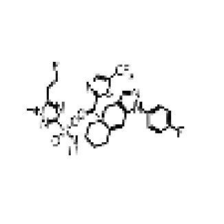 Cn1nc(S(=O)(=O)N[C@H]2CCC3=Cc4c(cnn4-c4ccc(F)cc4)C[C@]3(C(=O)c3ncc(C(F)(F)F)s3)C2)nc1CCF